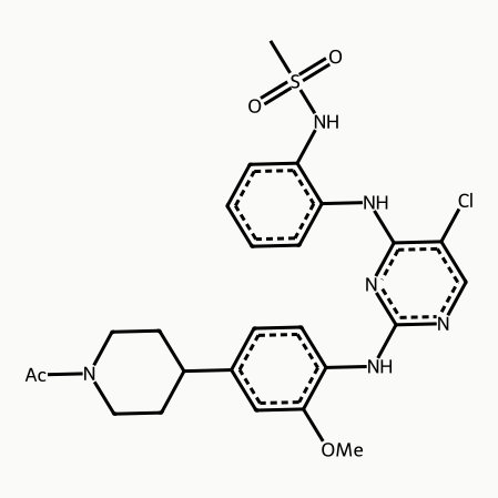 COc1cc(C2CCN(C(C)=O)CC2)ccc1Nc1ncc(Cl)c(Nc2ccccc2NS(C)(=O)=O)n1